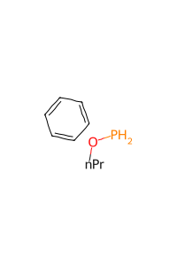 CCCOP.c1ccccc1